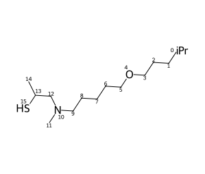 CC(C)CCCOCCCCCN(C)CC(C)S